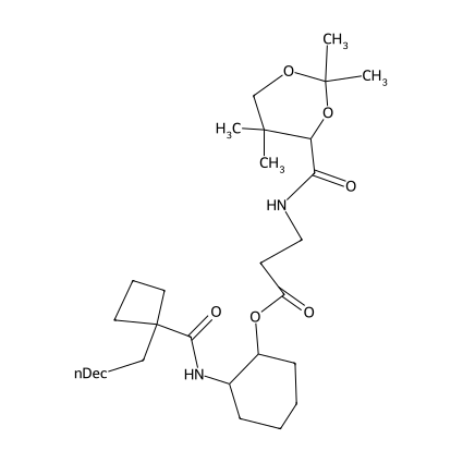 CCCCCCCCCCCC1(C(=O)NC2CCCCC2OC(=O)CCNC(=O)C2OC(C)(C)OCC2(C)C)CCC1